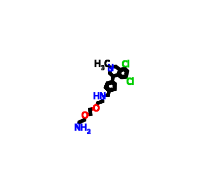 CN1Cc2c(Cl)cc(Cl)cc2C(c2ccc(CNCCOCCOCCN)cc2)C1